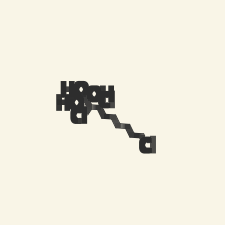 OC(O)(O)C(Cl)C(Cl)CCCCCCCl